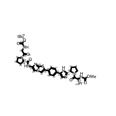 COC(=O)N[C@H](C(=O)N1CCC[C@H]1c1ncc(-c2ccc(-c3cn4cc(NC(=O)[C@@H]5CCCN5C(=O)CNC(=O)OC(C)(C)C)nc4s3)cc2)[nH]1)C(C)C